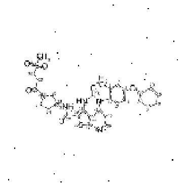 Cc1cc(Oc2ccccc2)ccc1N1C(=O)Nc2c(C(=O)N[C@@H]3CCN(C(=O)CCS(C)(=O)=O)C3)sc3nccc1c23